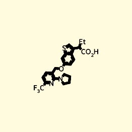 CCC(C(=O)O)c1csc2cc(OCc3ccc(C(F)(F)F)nc3N3CCCC3)ccc12